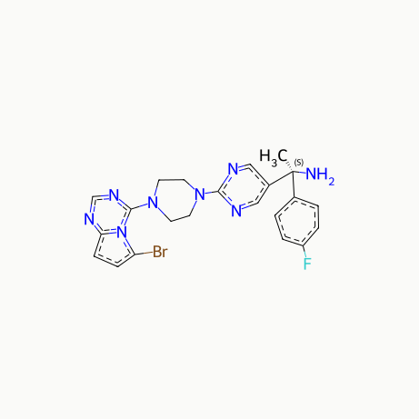 C[C@](N)(c1ccc(F)cc1)c1cnc(N2CCN(c3ncnc4ccc(Br)n34)CC2)nc1